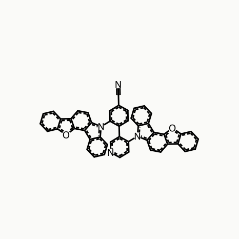 N#Cc1ccc(-c2cnccc2-n2c3ccccc3c3c4oc5ccccc5c4ccc32)c(-n2c3ccccc3c3c4oc5ccccc5c4ccc32)c1